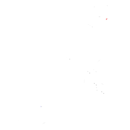 CCCCC/C=C\C/C=C\CCCCCCCC(=O)OCC(COC(=O)CC12CC3CC(CC(C3)C1)C2)COC(=O)[C@H](Cc1c[nH]cn1)N(C)C